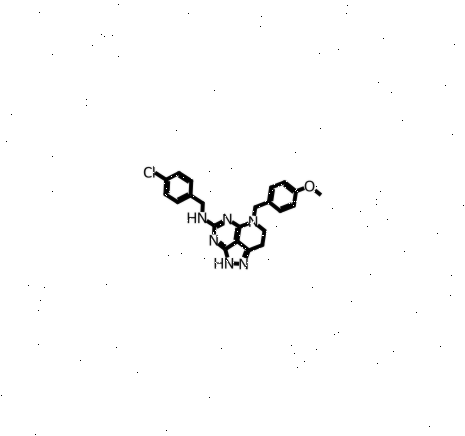 COc1ccc(CN2CCc3n[nH]c4nc(NCc5ccc(Cl)cc5)nc2c34)cc1